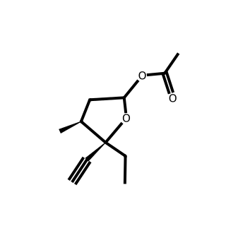 C#C[C@]1(CC)OC(OC(C)=O)C[C@@H]1C